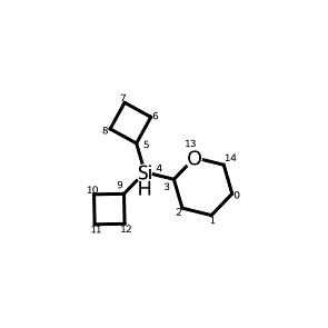 C1CCC([SiH](C2CCC2)C2CCC2)OC1